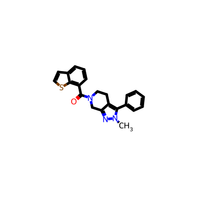 Cn1nc2c(c1-c1ccccc1)CCN(C(=O)c1cccc3ccsc13)C2